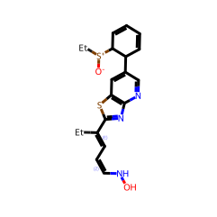 CC/C(=C\C=C/NO)c1nc2ncc(C3C=CC=CC3[S+]([O-])CC)cc2s1